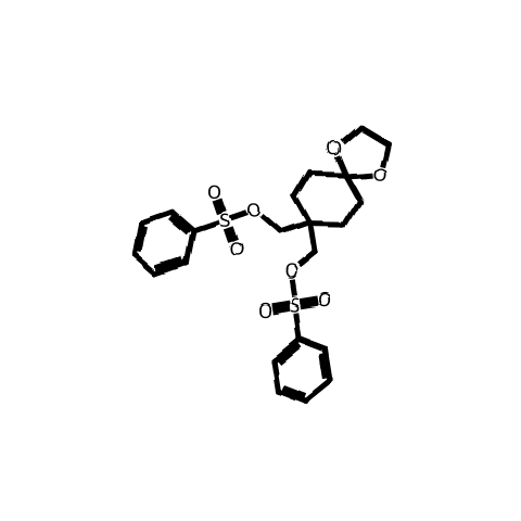 O=S(=O)(OCC1(COS(=O)(=O)c2ccccc2)CCC2(CC1)OCCO2)c1ccccc1